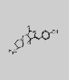 Cc1ccc(/C=C2\SC(=S)N(CN3CCC(C)CC3)C2=O)cc1